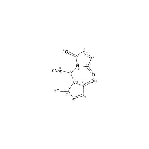 CCCCCCCCCC(N1C(=O)C=CC1=O)N1C(=O)C=CC1=O